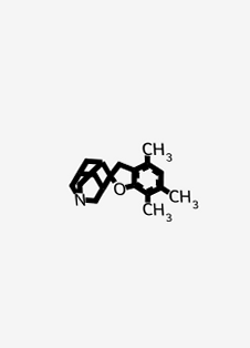 Cc1cc(C)c2c(c1C)OC1(C2)C2CC3CC1CN(C3)C2